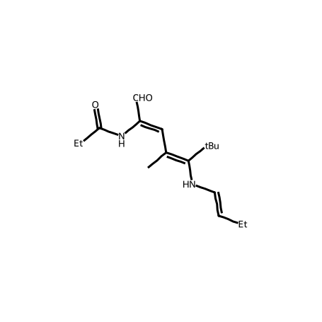 CC/C=C/N/C(=C(C)/C=C(/C=O)NC(=O)CC)C(C)(C)C